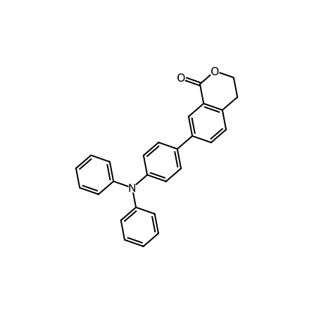 O=C1OCCc2ccc(-c3ccc(N(c4ccccc4)c4ccccc4)cc3)cc21